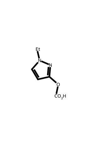 CCn1ccc(OC(=O)O)n1